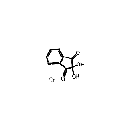 O=C1c2ccccc2C(=O)C1(O)O.[Cr]